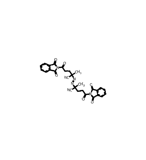 CC(C#N)(CCC(=O)N1C(=O)c2ccccc2C1=O)N=NC(C)(C#N)CCC(=O)N1C(=O)c2ccccc2C1=O